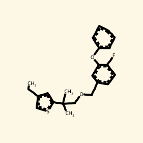 CCc1csc(C(C)(C)COCc2ccc(F)c(Oc3ccccc3)c2)c1